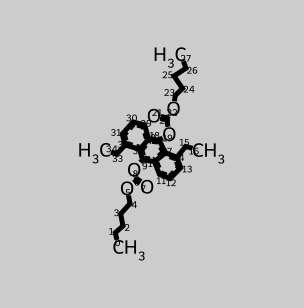 CCCCCOC(=O)Oc1c2cccc(CC)c2c(OC(=O)OCCCCC)c2cccc(CC)c12